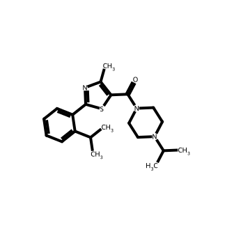 Cc1nc(-c2ccccc2C(C)C)sc1C(=O)N1CCN(C(C)C)CC1